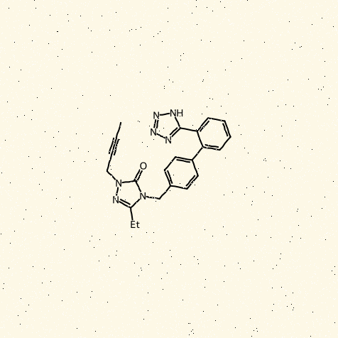 CC#CCn1nc(CC)n(Cc2ccc(-c3ccccc3-c3nnn[nH]3)cc2)c1=O